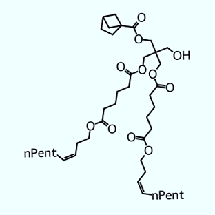 CCCCC/C=C\CCOC(=O)CCCCC(=O)OCC(CO)(COC(=O)CCCCC(=O)OCC/C=C\CCCCC)COC(=O)C12CCC(C1)C2